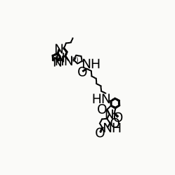 CCCc1cc(N[C@@H]2CCC(NC(=O)CCCCCCCNc3cccc4c3C(=O)N(C3CCC(=O)NC3=O)C4=O)C2)n2nccc2n1